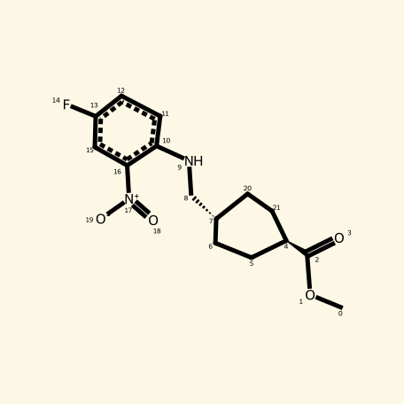 COC(=O)[C@H]1CC[C@H](CNc2ccc(F)cc2[N+](=O)[O-])CC1